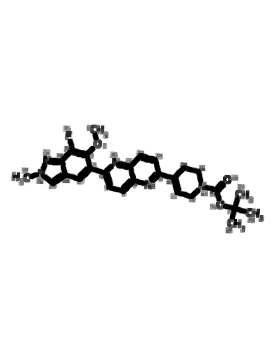 COc1c(-c2ccc3nc(C4=CCN(C(=O)OC(C)(C)C)CC4)ccc3n2)cc2cn(C)nc2c1F